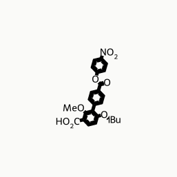 CCC(C)Oc1ccc(C(=O)O)c(OC)c1-c1ccc(C(=O)Oc2ccc([N+](=O)[O-])cc2)cc1